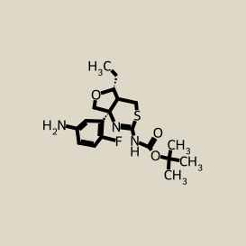 CC[C@H]1OC[C@]2(c3cc(N)ccc3F)N=C(NC(=O)OC(C)(C)C)SCC12